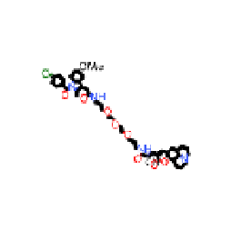 COc1ccc2c(c1)c(CC(=O)NCCCOCCOCCOCCCNC(=O)/C(C#N)=C/c1cc3cc4c5c(c3oc1=O)CCCN5CCC4)c(C)n2C(=O)c1ccc(Cl)cc1